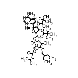 CCC(CC)COC(=O)[C@H](C)NP(=O)(OCOC(=O)OC(C)C)OC[C@H]1O[C@@](C#N)(c2ccc3c(N)ncnn23)[C@H](OC(=O)C(C)(C)C)[C@@H]1OC(=O)C(C)(C)C